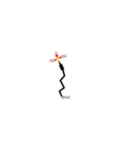 CCCCCCCCCC#CP(=O)(O)O